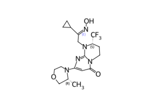 C[C@@H]1COCCN1c1cc(=O)n2c(n1)N(C/C(=N/O)C1CC1)[C@H](C(F)(F)F)CC2